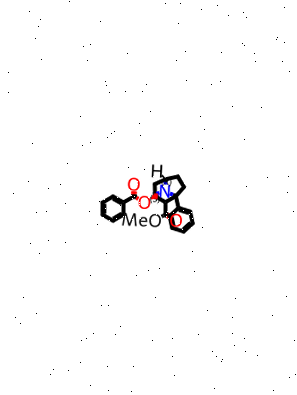 COC(=O)C1[C@@H](OC(=O)c2ccccc2)C[C@H]2CCC1(c1ccccc1)N2C